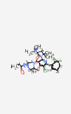 C=CC(=O)N1CCN2C(=O)c3c(N4C[C@@H](N(C)C)CC4(C)C)nc(-c4cccc(F)c4F)c(Cl)c3OC[C@H]2C1